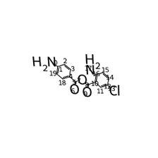 Nc1ccc(C(=O)OC(=O)c2cc(Cl)ccc2N)cc1